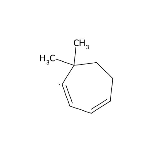 CC1(C)[C]=CC=CCC1